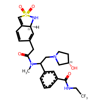 CN(C(=O)CC1=C[C@@H]2NS(=O)(=O)C=C2C=C1)C(CN1CC[C@H](O)C1)c1cccc(C(=O)NCC(F)(F)F)c1